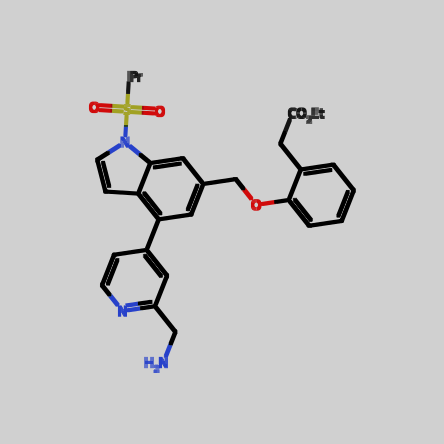 CCOC(=O)Cc1ccccc1OCc1cc(-c2ccnc(CN)c2)c2ccn(S(=O)(=O)C(C)C)c2c1